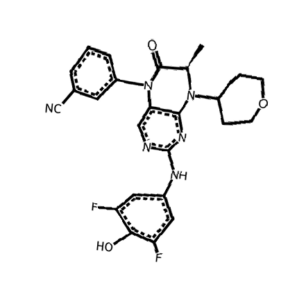 C[C@@H]1C(=O)N(c2cccc(C#N)c2)c2cnc(Nc3cc(F)c(O)c(F)c3)nc2N1C1CCOCC1